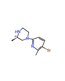 Cc1nc(N2CCN[C@H](C)C2)ccc1Br